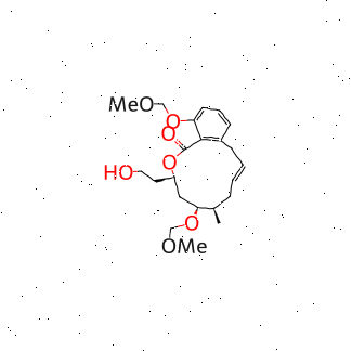 COCOc1cccc2c1C(=O)O[C@H](CCO)C[C@H](OCOC)[C@H](C)C/C=C/C2